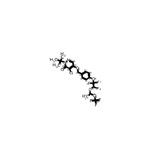 CC(OC(F)C(F)(F)Oc1ccc(COc2cnn(C(C)(C)C)c(=O)c2Cl)cc1)OC(F)(F)F